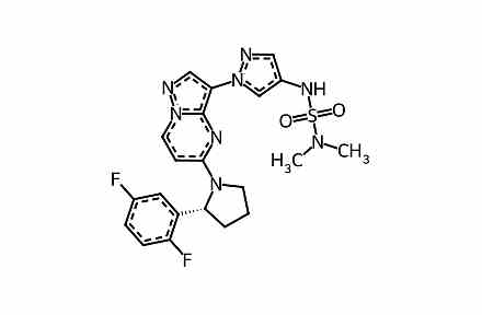 CN(C)S(=O)(=O)Nc1cnn(-c2cnn3ccc(N4CCC[C@@H]4c4cc(F)ccc4F)nc23)c1